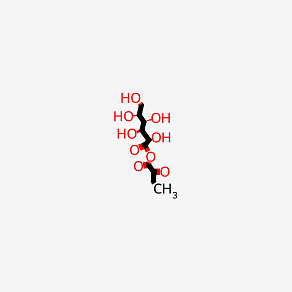 CCC(=O)C(=O)OC(=O)[C@H](O)[C@@H](O)[C@@H](O)[C@H](O)CO